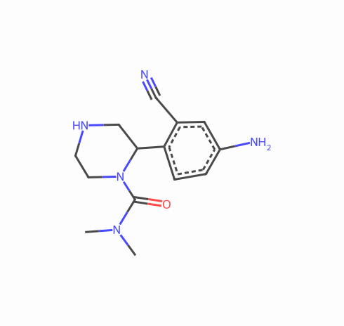 CN(C)C(=O)N1CCNCC1c1ccc(N)cc1C#N